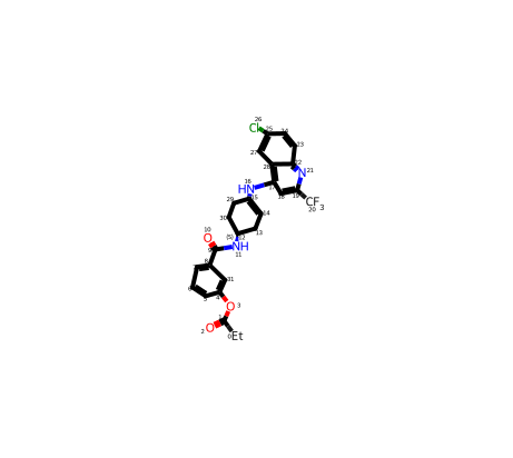 CCC(=O)Oc1cccc(C(=O)N[C@@H]2CC=C(Nc3cc(C(F)(F)F)nc4ccc(Cl)cc34)CC2)c1